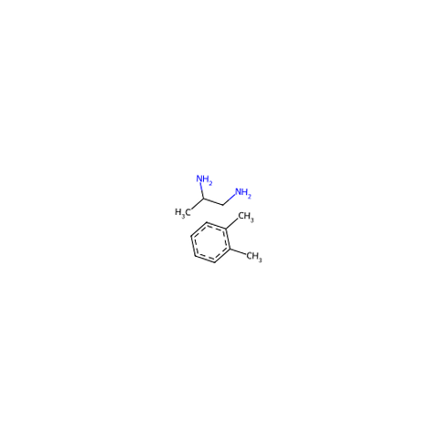 CC(N)CN.Cc1ccccc1C